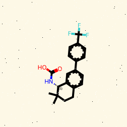 CC1(C)CCc2ccc(-c3ccc(C(F)(F)F)cc3)cc2[C@H]1NC(=O)O